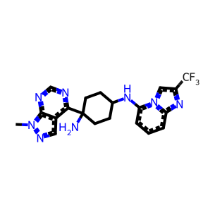 Cn1ncc2c(C3(N)CCC(Nc4cccc5nc(C(F)(F)F)cn45)CC3)ncnc21